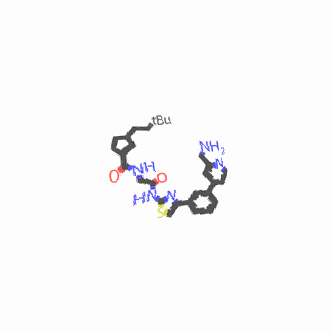 CC(C)(C)CCC1C=CC(C(=O)NCC(=O)Nc2nc(-c3cccc(-c4ccnc(CN)c4)c3)cs2)=C1